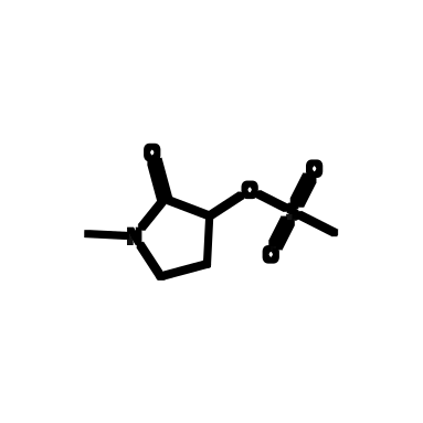 CN1CCC(OS(C)(=O)=O)C1=O